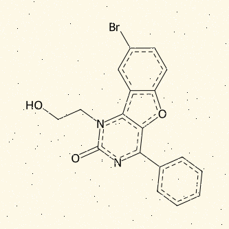 O=c1nc(-c2ccccc2)c2oc3ccc(Br)cc3c2n1CCO